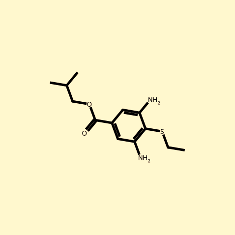 CCSc1c(N)cc(C(=O)OCC(C)C)cc1N